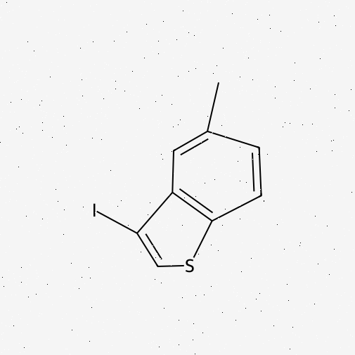 Cc1ccc2scc(I)c2c1